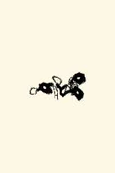 O=C(NCc1ccc(Cl)cc1)C1CCC(c2ccccc2)N(S(=O)(=O)c2ccccc2)C1